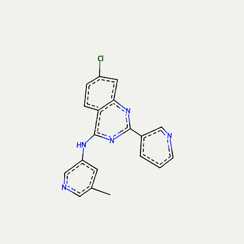 Cc1cncc(Nc2nc(-c3cccnc3)nc3cc(Cl)ccc23)c1